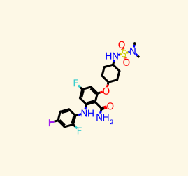 CN(C)S(=O)(=O)NC1CCC(Oc2cc(F)cc(Nc3ccc(I)cc3F)c2C(N)=O)CC1